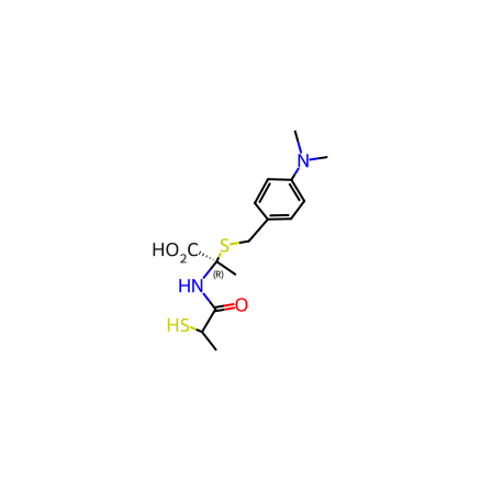 CC(S)C(=O)N[C@](C)(SCc1ccc(N(C)C)cc1)C(=O)O